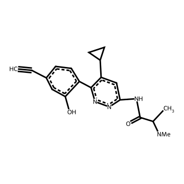 C#Cc1ccc(-c2nnc(NC(=O)C(C)NC)cc2C2CC2)c(O)c1